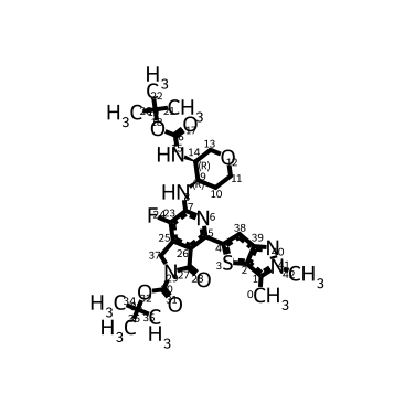 Cc1c2sc(-c3nc(N[C@@H]4CCOC[C@@H]4NC(=O)OC(C)(C)C)c(F)c4c3C(=O)N(C(=O)OC(C)(C)C)C4)cc2nn1C